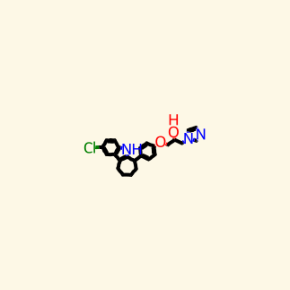 OC(COc1ccc(C2CCCCc3c2[nH]c2ccc(Cl)cc32)cc1)Cn1ccnc1